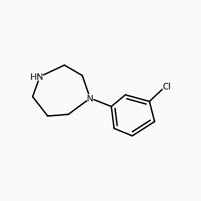 Clc1cccc(N2CCCNCC2)c1